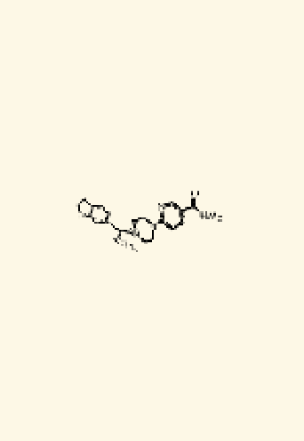 CNC(=O)c1ccc(N2CCN(C(C)c3ccc4c(c3)OCC4)CC2)nc1